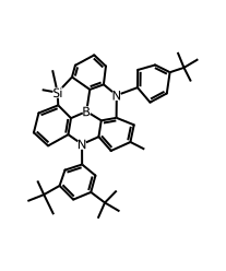 Cc1cc2c3c(c1)N(c1cc(C(C)(C)C)cc(C(C)(C)C)c1)c1cccc4c1B3c1c(cccc1[Si]4(C)C)N2c1ccc(C(C)(C)C)cc1